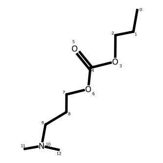 CCCOC(=O)OCCCN(C)C